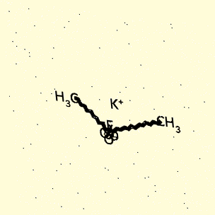 CCCCCCCCCCCCCCC(F)(CCCCCCCCCCC)S(=O)(=O)[O-].[K+]